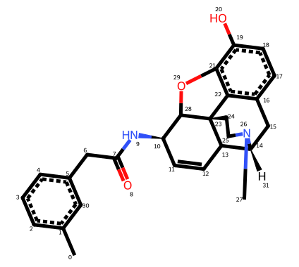 Cc1cccc(CC(=O)N[C@@H]2C=CC3[C@H]4Cc5ccc(O)c6c5[C@@]3(CCN4C)C2O6)c1